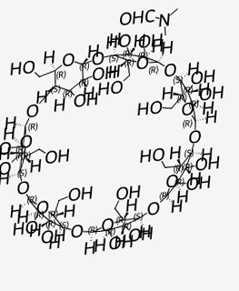 CN(C)C=O.OC[C@H]1O[C@@H]2O[C@H]3[C@H](O)[C@@H](O)[C@@H](O[C@H]4[C@H](O)[C@@H](O)[C@@H](O[C@H]5[C@H](O)[C@@H](O)[C@@H](O[C@H]6[C@H](O)[C@@H](O)[C@@H](O[C@H]7[C@H](O)[C@@H](O)[C@@H](O[C@H]8[C@H](O)[C@@H](O)[C@@H](O[C@H]1[C@H](O)[C@H]2O)O[C@@H]8CO)O[C@@H]7CO)O[C@@H]6CO)O[C@@H]5CO)O[C@@H]4CO)O[C@@H]3CO